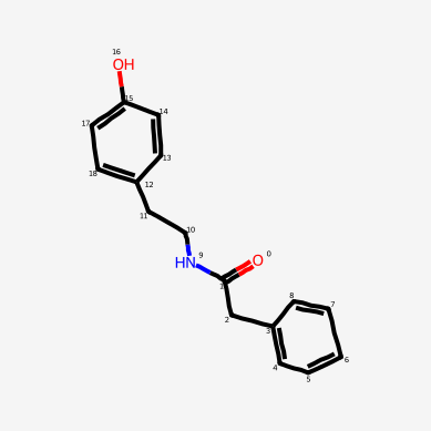 O=C(Cc1ccccc1)NCCc1ccc(O)cc1